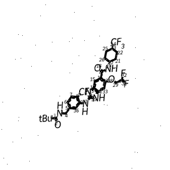 CC(C)(C)C(=O)NCc1ccc(C(F)(F)F)c(Nc2nc3cc(C(=O)N[C@H]4CC[C@H](C(F)(F)F)CC4)c(OCC(F)F)cc3[nH]2)c1